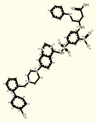 O=C(O)CC(CSc1ccccc1)Nc1ccc(S(=O)(=O)Nc2ncnc3cc(N4CCN(Cc5ccccc5-c5ccc(Cl)cc5)CC4)ccc23)cc1[N+](=O)[O-]